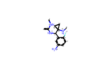 C=C(NC)NC(c1cc(N)ccc1F)C1(NC)CC1